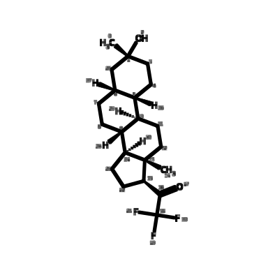 C[C@@]1(O)CC[C@H]2[C@H](CC[C@@H]3[C@@H]2CC[C@]2(C)[C@@H](C(=O)C(F)(F)F)CC[C@@H]32)C1